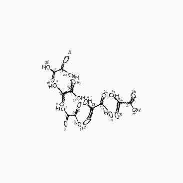 O=C(O)C(=O)O.O=C(O)C(=O)O.O=C(O)C(=O)O.O=C(O)C(=O)O.O=C(O)C(=O)O